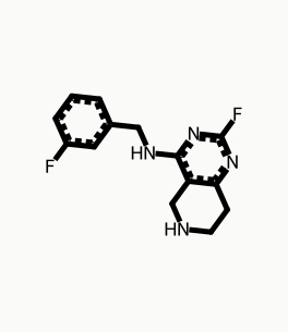 Fc1cccc(CNc2nc(F)nc3c2CNCC3)c1